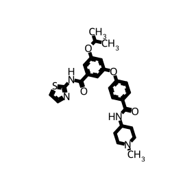 CC(C)Oc1cc(Oc2ccc(C(=O)NC3CCN(C)CC3)cc2)cc(C(=O)Nc2nccs2)c1